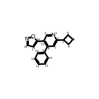 [c]1nc(C2CCC2)cc(-c2ccccc2)c1-c1ccno1